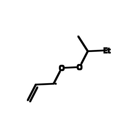 C=C[CH]OOC(C)CC